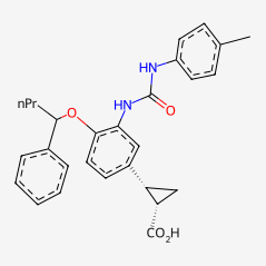 CCCC(Oc1ccc([C@@H]2C[C@@H]2C(=O)O)cc1NC(=O)Nc1ccc(C)cc1)c1ccccc1